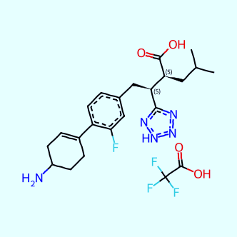 CC(C)C[C@H](C(=O)O)[C@H](Cc1ccc(C2=CCC(N)CC2)c(F)c1)c1nn[nH]n1.O=C(O)C(F)(F)F